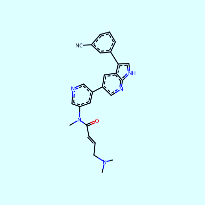 CN(C)C/C=C/C(=O)N(C)c1cncc(-c2cnc3[nH]cc(-c4cccc(C#N)c4)c3c2)c1